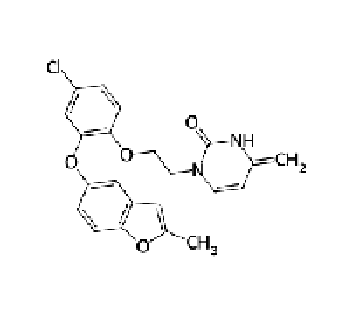 C=C1C=CN(CCOc2ccc(Cl)cc2Oc2ccc3oc(C)cc3c2)C(=O)N1